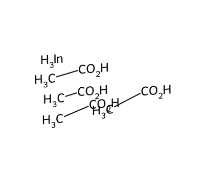 CC(=O)O.CC(=O)O.CC(=O)O.CC(=O)O.[InH3]